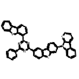 c1ccc(-c2nc(-c3ccc4oc5cc(-n6c7ccccc7c7cccnc76)ccc5c4c3)nc(-c3cccc4c3oc3ccccc34)n2)cc1